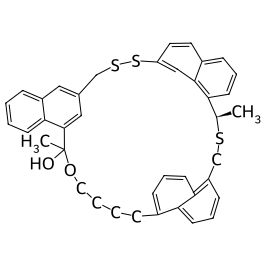 C[C@H]1SCc2cccc3c(cccc23)CCCCOC(C)(O)c2cc(cc3ccccc23)CSSc2ccc3cccc1c3c2